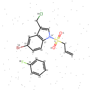 C=CCS(=O)(=O)n1cc(CCl)c2cc(Br)ccc21.Fc1ccccc1